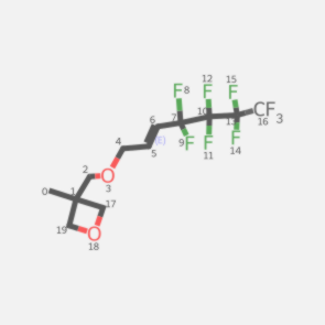 CC1(COC/C=C/C(F)(F)C(F)(F)C(F)(F)C(F)(F)F)COC1